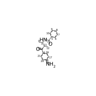 CC(NC(=O)c1ccccc1)C(C)C(=O)c1ccc(N)cc1